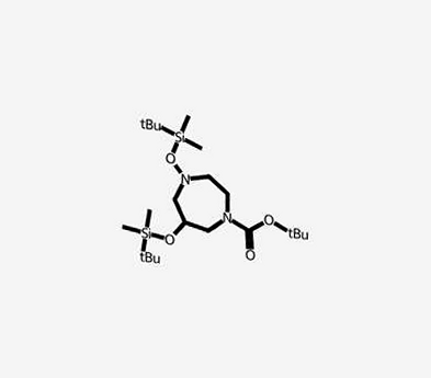 CC(C)(C)OC(=O)N1CCN(O[Si](C)(C)C(C)(C)C)CC(O[Si](C)(C)C(C)(C)C)C1